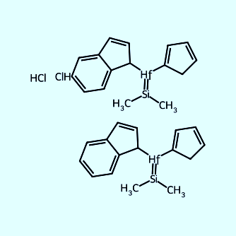 C[Si](C)=[Hf]([C]1=CC=CC1)[CH]1C=Cc2ccccc21.C[Si](C)=[Hf]([C]1=CC=CC1)[CH]1C=Cc2ccccc21.Cl.Cl